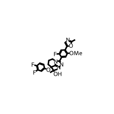 COc1cc(-c2nnc3n2CCCC3(Oc2ccc(F)c(F)c2)C(C)(C)O)c(F)cc1-c1cnc(C)o1